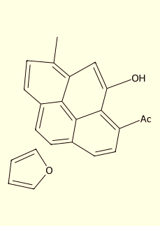 CC(=O)c1ccc2ccc3ccc(C)c4cc(O)c1c2c34.c1ccoc1